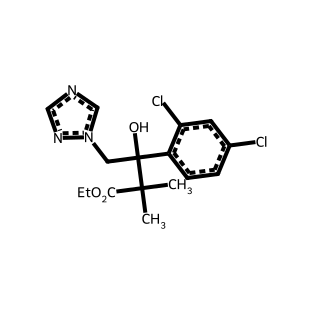 CCOC(=O)C(C)(C)C(O)(Cn1cncn1)c1ccc(Cl)cc1Cl